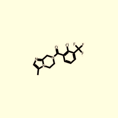 Cc1cnc2n1CCN(C(=O)c1cccc(C(F)(F)F)c1Cl)C2